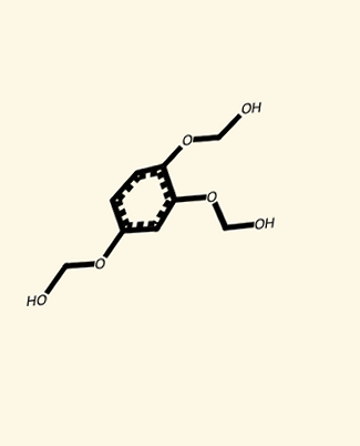 OCOc1ccc(OCO)c(OCO)c1